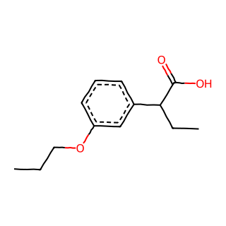 CCCOc1cccc(C(CC)C(=O)O)c1